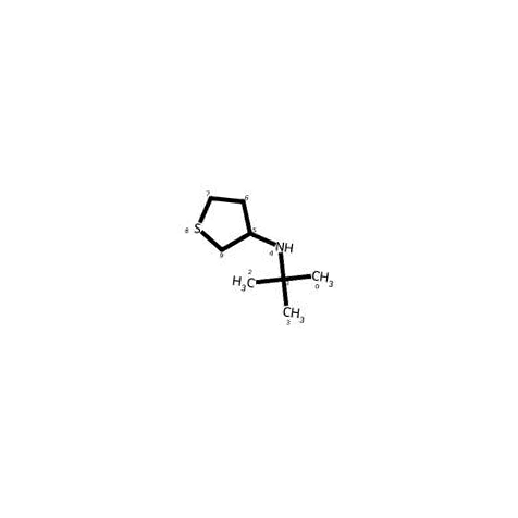 CC(C)(C)NC1CCSC1